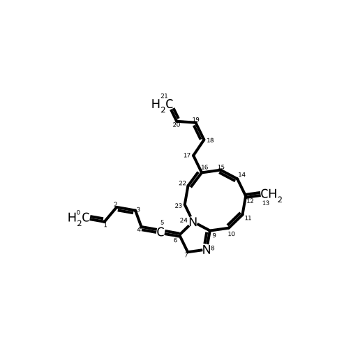 C=C/C=C\C=C=C1CN=C2/C=C\C(=C)/C=C\C(C/C=C\C=C)=C/CN12